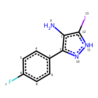 Nc1c(-c2ccc(F)cc2)n[nH]c1I